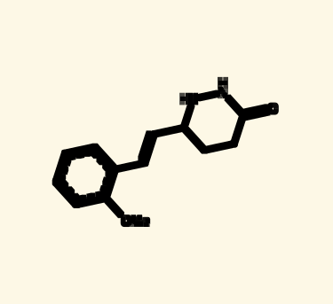 COc1ccccc1/C=C/C1CCC(=O)NN1